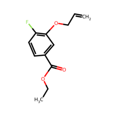 C=CCOc1cc(C(=O)OCC)ccc1F